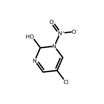 O=[N+]([O-])N1C=C(Cl)C=NC1O